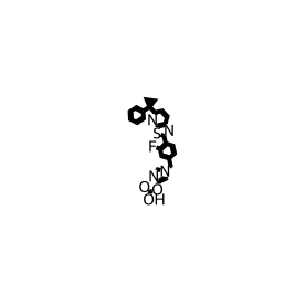 O=C(O)Oc1cn(Cc2ccc(-c3nc4ccc(C5(c6ccccc6)CC5)nc4s3)c(F)c2)cn1